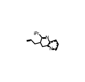 C=CCC1Cc2ncccc2N=C1C(C)C